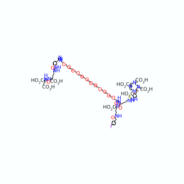 O=C(O)CC[C@H](NC(=O)N[C@@H](CCCCNC(=O)Nc1cccc(-c2cnnn2CCOCCOCCOCCOCCOCCOCCOCCOCCOCCOCCOCCOCCC(=O)N[C@@H](CCCCNC(=S)Nc2ccc(CC3CN(CC(=O)O)CCN(CC(=O)O)CCN(CC(=O)O)CCN3CC(=O)O)cc2)C(=O)N[C@@H](CCCCNC(=O)Cc2ccc(I)cc2)C(=O)O)c1)C(=O)O)C(=O)O